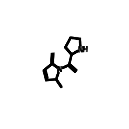 C=C1C=CC(C)N1C(=C)C1CCCN1